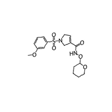 COc1cccc(S(=O)(=O)N2CC=C(C(=O)NOC3CCCCO3)C2)c1